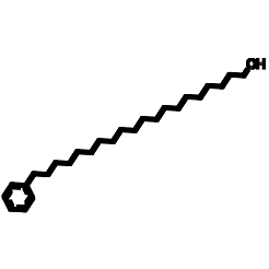 OCCCCCCCCCCCCCCCCCCCCc1ccccc1